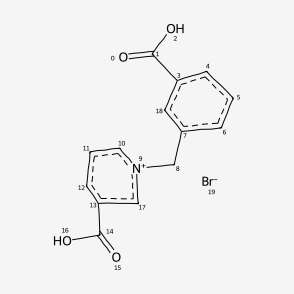 O=C(O)c1cccc(C[n+]2cccc(C(=O)O)c2)c1.[Br-]